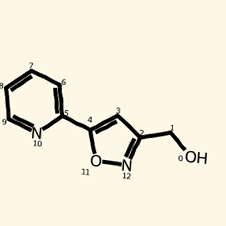 OCc1cc(-c2ccccn2)on1